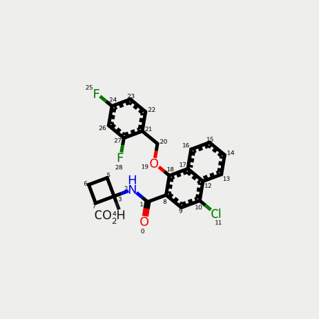 O=C(NC1(C(=O)O)CCC1)c1cc(Cl)c2ccccc2c1OCc1ccc(F)cc1F